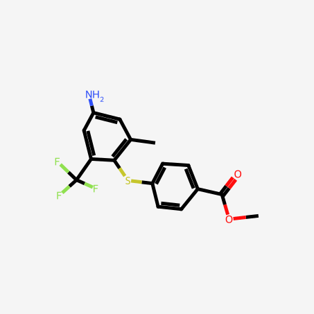 COC(=O)c1ccc(Sc2c(C)cc(N)cc2C(F)(F)F)cc1